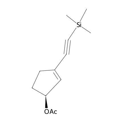 CC(=O)O[C@@H]1C=C(C#C[Si](C)(C)C)CC1